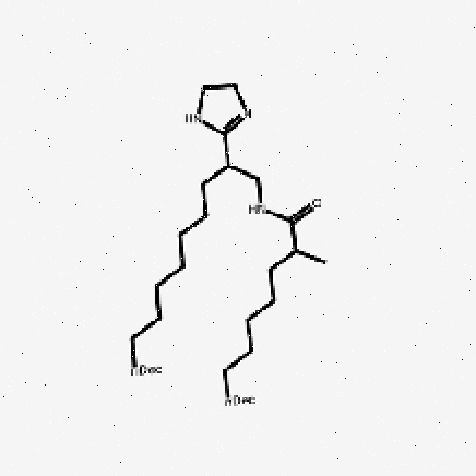 CCCCCCCCCCCCCCCCCC(CNC(=O)C(C)CCCCCCCCCCCCCCC)C1=NCCN1